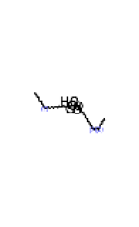 CCCCC/C=C\C/C=C\CCCCCCCCCCCC(=O)O[C@@H](CO)COC(=O)CCCCCCCCCCC/C=C\CCCCCCCC